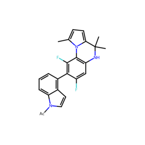 CC(=O)n1ccc2c(-c3c(F)cc4c(c3F)-n3c(C)ccc3C(C)(C)N4)cccc21